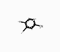 N#Cc1cc(I)c(F)cn1